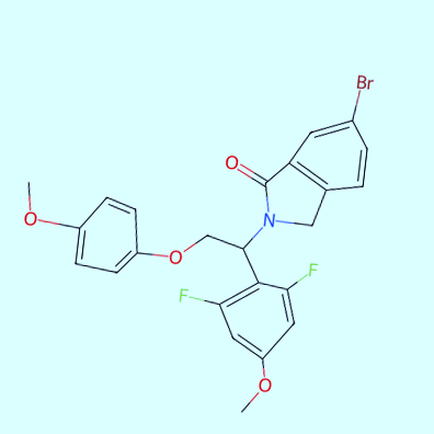 COc1ccc(OCC(c2c(F)cc(OC)cc2F)N2Cc3ccc(Br)cc3C2=O)cc1